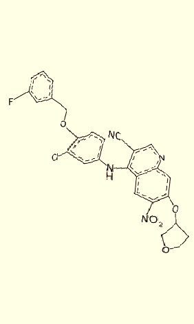 N#Cc1cnc2cc(OC3CCOC3)c([N+](=O)[O-])cc2c1Nc1ccc(OCc2cccc(F)c2)c(Cl)c1